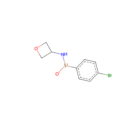 [O-][S+](NC1COC1)c1ccc(Br)cc1